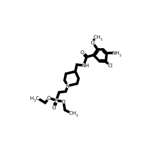 CCOP(=O)(CCN1CCC(CNC(=O)c2cc(Cl)c(N)cc2OC)CC1)OCC